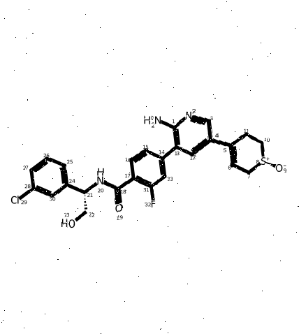 Nc1ncc(C2=CC[S@+]([O-])CC2)cc1-c1ccc(C(=O)N[C@H](CO)c2cccc(Cl)c2)c(F)c1